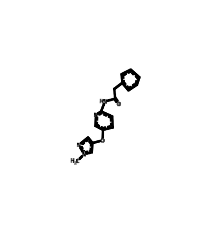 Cn1cc(Oc2ccc(NC(=O)Cc3ccccc3)nc2)cn1